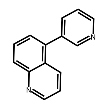 c1cncc(-c2cccc3ncccc23)c1